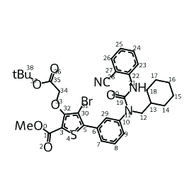 COC(=O)c1sc(-c2cccc(N(CC3CCCCC3)C(=O)Nc3ccccc3C#N)c2)c(Br)c1OCC(=O)OC(C)(C)C